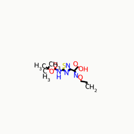 C=CCO/N=C(\C(=O)O)c1nsc(NC(=O)OC(C)(C)C)n1